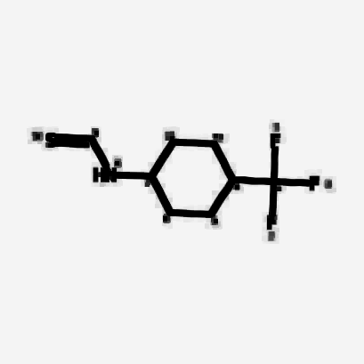 FC(F)(F)C1CCC(NC=S)CC1